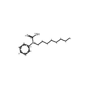 CCCCCCCCN(C(=S)S)c1ccccc1